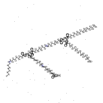 CCCCCCCC/C=C\CCCCCCCC(=O)OCC(COC(=O)CCCCCCC/C=C/CCCCCCCC(=O)OC(COC(=O)CCCCCCCCCCCCCCCCC)COC(=O)CCCCCCCCCCCCCCCCC)OC(=O)CCCCCCC/C=C/CCCCCCCC(=O)O